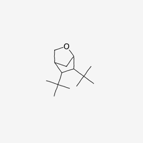 CC(C)(C)C1C2COC(C2)C1C(C)(C)C